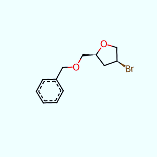 Br[C@@H]1CO[C@H](COCc2ccccc2)C1